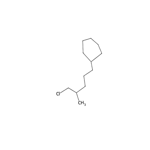 CC(CCl)CCCC1CCCCC1